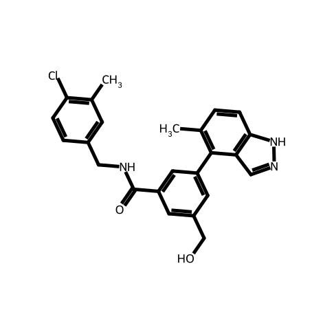 Cc1cc(CNC(=O)c2cc(CO)cc(-c3c(C)ccc4[nH]ncc34)c2)ccc1Cl